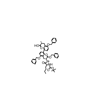 CCCCC(NC(=O)OC(C)(C)C)C(=O)N(C)[C@@H](Cc1cc(-c2ccc(OCc3ccccc3)c(C[C@H](C)C(=O)O)c2)ccc1OCc1ccccc1)C(=O)OCc1ccccc1